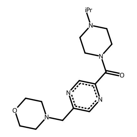 CC(C)N1CCN(C(=O)c2cnc(CN3CCOCC3)cn2)CC1